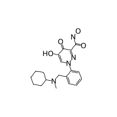 CN(Cc1ccccc1-n1cc(O)c(=O)c(C(=O)N=O)n1)C1CCCCC1